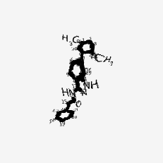 Cc1ccc(C)c(-c2ccc3c(NC(=O)Cc4ccccc4)n[nH]c3c2)c1